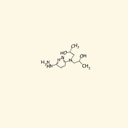 CC(O)CN(CC(C)O)c1ccc(NN)nn1